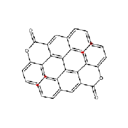 O=c1oc2ccccc2c2c(-c3c4ccccc4cc4c(=O)oc5ccccc5c34)c3ccccc3cc12